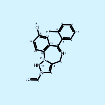 O=CN1C=C2CN=C(c3ccccc3F)c3cc(Cl)ccc3N2N1